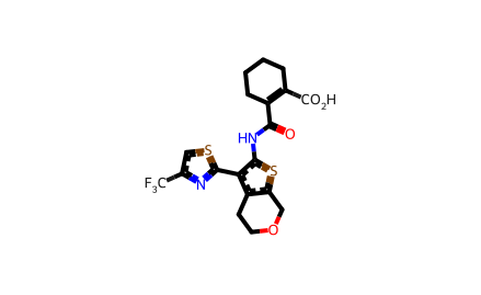 O=C(O)C1=C(C(=O)Nc2sc3c(c2-c2nc(C(F)(F)F)cs2)CCOC3)CCCC1